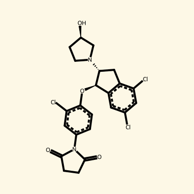 O=C1CCC(=O)N1c1ccc(O[C@@H]2c3cc(Cl)cc(Cl)c3C[C@H]2N2CC[C@@H](O)C2)c(Cl)c1